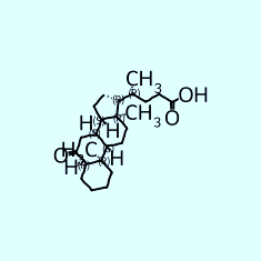 C[C@H](CCC(=O)O)[C@H]1CC[C@H]2[C@@H]3CC(=O)[C@@H]4CCCC[C@]4(C)[C@H]3CC[C@]12C